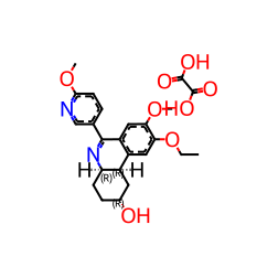 CCOc1cc2c(cc1OC)C(c1ccc(OC)nc1)=N[C@@H]1CC[C@@H](O)C[C@H]21.O=C(O)C(=O)O